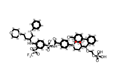 O=C(NS(=O)(=O)c1ccc(NC(CCN2CCOCC2)CSc2ccccc2)c(S(=O)(=O)C(F)(F)F)c1)c1ccc(N2CCC([C@@H](OCOP(=O)(O)O)c3ccccc3-c3ccc(Cl)cc3)CC2)cc1